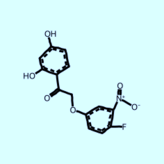 O=C(COc1ccc(F)c([N+](=O)[O-])c1)c1ccc(O)cc1O